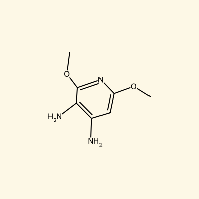 COc1cc(N)c(N)c(OC)n1